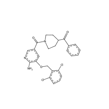 Nc1ncc(C(=O)N2CCC(C(=O)c3ccccc3)CC2)cc1OCc1c(Cl)cccc1Cl